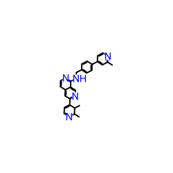 Cc1cc(-c2ccc(CNc3nccc4cc(C5=CC=NC(C)C5C)ncc34)cc2)ccn1